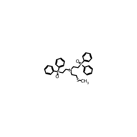 CSCCN(CCP(=O)(c1ccccc1)c1ccccc1)CCP(=O)(c1ccccc1)c1ccccc1